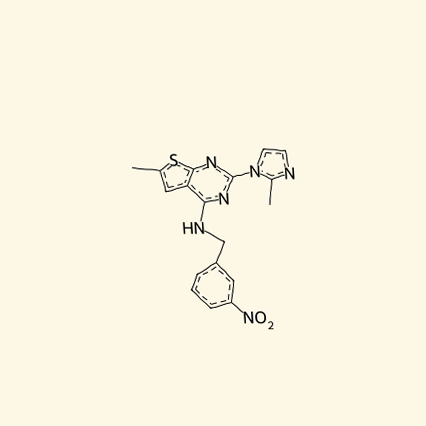 Cc1cc2c(NCc3cccc([N+](=O)[O-])c3)nc(-n3ccnc3C)nc2s1